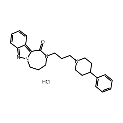 Cl.O=C1c2c3ccccc3nn2CCCN1CCCN1CCC(c2ccccc2)CC1